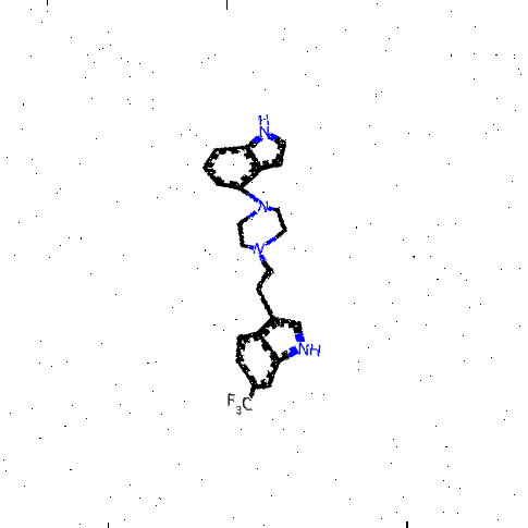 FC(F)(F)c1ccc2c(CCN3CCN(c4cccc5[nH]ccc45)CC3)c[nH]c2c1